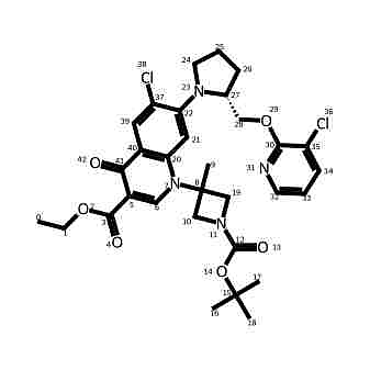 CCOC(=O)c1cn(C2(C)CN(C(=O)OC(C)(C)C)C2)c2cc(N3CCC[C@@H]3COc3ncccc3Cl)c(Cl)cc2c1=O